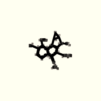 C.CCOC(=O)c1c2n(c3c(OC)c(Br)ccc3c1=O)C1CC1[S+]2[O-]